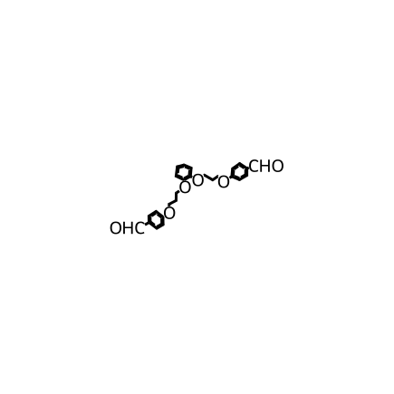 O=Cc1ccc(OCCCOc2ccccc2OCCCOc2ccc(C=O)cc2)cc1